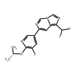 C[C@H](Oc1ncc(-c2cc3c(C(F)F)ncn3cn2)cc1F)C(F)(F)F